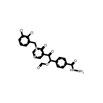 NNC(=O)c1ccc(C(OC=O)C(=O)c2cncn(Cc3cccc(Cl)c3Cl)c2=O)cc1